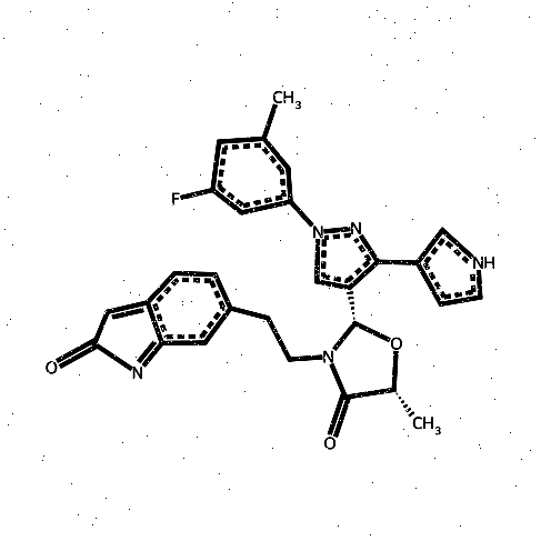 Cc1cc(F)cc(-n2cc([C@@H]3O[C@H](C)C(=O)N3CCc3ccc4c(c3)=NC(=O)C=4)c(-c3cc[nH]c3)n2)c1